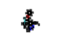 CCN(C)/C=N\c1cc(C)c(C(COc2ccccc2)=C(F)F)cc1C